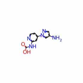 Nc1cnn(-c2ccnc(NC(=O)O)c2)c1